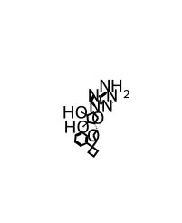 Nc1ncnc2c1ncn2[C@@H]1O[C@H](COCC2(c3ccccc3)CCC2)[C@@H](O)[C@H]1O